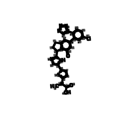 CN(C(=O)O)c1ccc(-c2cnc(C3CCc4cc(-c5cc(Cl)ccc5-n5cnnn5)cc(=O)n43)[nH]2)s1